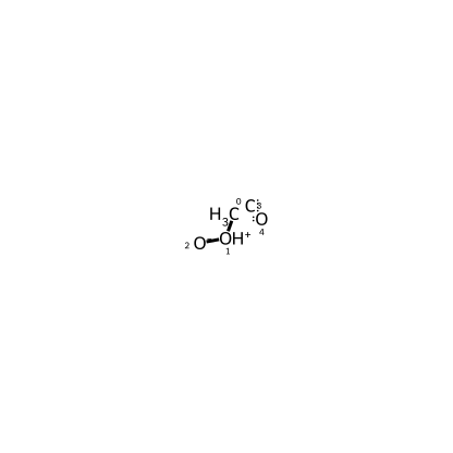 C[OH+][O-].[C].[O]